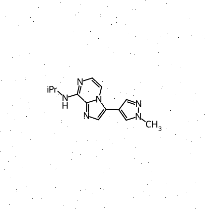 CC(C)Nc1nccn2c(-c3cnn(C)c3)cnc12